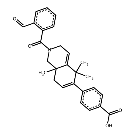 CC12CC=C(c3ccc(C(=O)O)cc3)C(C)(C)C1=CCN(C(=O)c1ccccc1C=O)C2